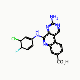 Nc1ncc2c(n1)c(NC1=CC(Cl)C(F)C=C1)nc1cc(C(=O)O)ccc12